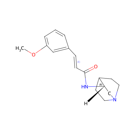 COc1cccc(/C=C/C(=O)N[C@H]2CN3CCC2CC3)c1